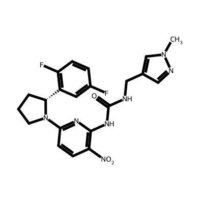 Cn1cc(CNC(=O)Nc2nc(N3CCC[C@@H]3c3cc(F)ccc3F)ccc2[N+](=O)[O-])cn1